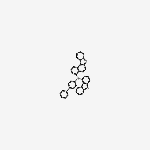 c1ccc(-c2ccc(N(c3cccc4c3ccc3sc5ccccc5c34)c3cccc4sc5ccccc5c34)cc2)cc1